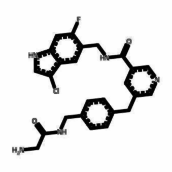 NCC(=O)NCc1ccc(Cc2cncc(C(=O)NCc3cc4c(Cl)c[nH]c4cc3F)c2)cc1